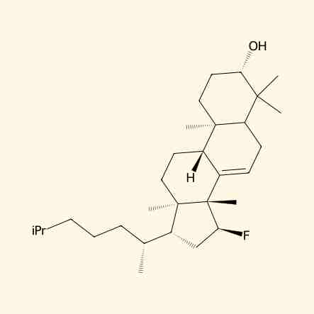 CC(C)CCC[C@@H](C)[C@H]1C[C@H](F)[C@@]2(C)C3=CCC4C(C)(C)[C@@H](O)CC[C@]4(C)[C@H]3CC[C@]12C